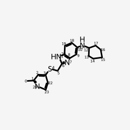 Cc1cc(SCc2nc3cc(NC4CCCCC4)ccc3[nH]2)ccn1